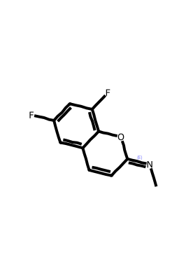 C/N=c1\ccc2cc(F)cc(F)c2o1